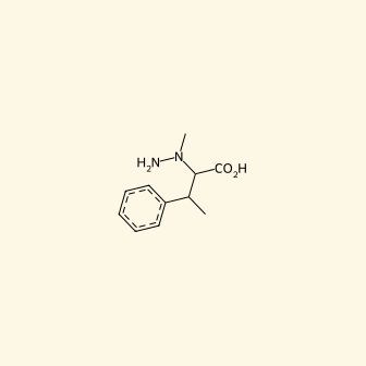 CC(c1ccccc1)C(C(=O)O)N(C)N